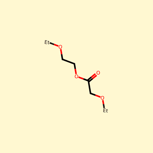 CCOCCOC(=O)COCC